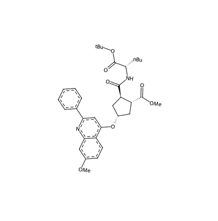 CCCC[C@H](NC(=O)[C@@H]1C[C@@H](Oc2cc(-c3ccccc3)nc3cc(OC)ccc23)C[C@H]1C(=O)OC)C(=O)OC(C)(C)C